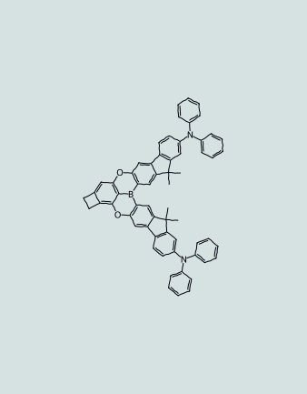 CC1(C)c2cc(N(c3ccccc3)c3ccccc3)ccc2-c2cc3c(cc21)B1c2cc4c(cc2Oc2c5c(cc(c21)O3)CC5)-c1ccc(N(c2ccccc2)c2ccccc2)cc1C4(C)C